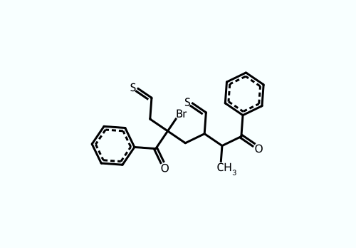 CC(C(=O)c1ccccc1)C(C=S)CC(Br)(CC=S)C(=O)c1ccccc1